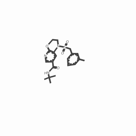 Cc1cccc(CS(=O)(=O)N2CCOc3ncc(C(=O)NC(C)(C)C)cc32)c1